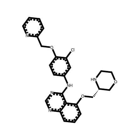 Clc1cc(Nc2ncnc3cccc(OC[C@H]4COCCN4)c23)ccc1OCc1ccccn1